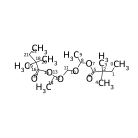 CCC(C)(C)C(=O)OC(C)OCOC(C)OC(=O)C(C)(C)CC